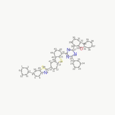 c1ccc(-c2ccc3nc(-c4ccc5sc6c(-c7nc(-c8ccccc8)nc(-c8cccc9c8oc8ccccc89)n7)cccc6c5c4)sc3c2)cc1